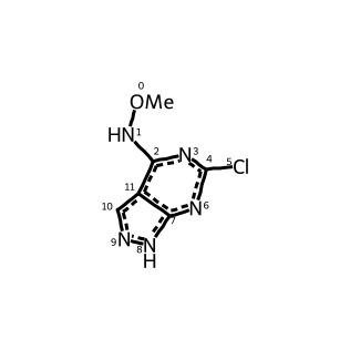 CONc1nc(Cl)nc2[nH]ncc12